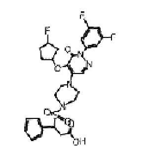 O=C(O)CC(c1ccccc1)S(=O)(=O)N1CCN(c2cnn(-c3cc(F)cc(F)c3)c(=O)c2OC2CCC(F)C2)CC1